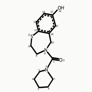 O=C(N1CCCCC1)N1CCSc2ccc(O)cc2C1